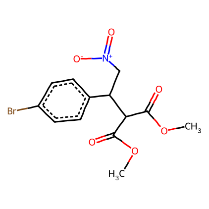 COC(=O)C(C(=O)OC)C(C[N+](=O)[O-])c1ccc(Br)cc1